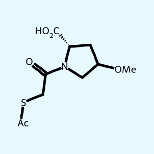 COC1C[C@@H](C(=O)O)N(C(=O)CSC(C)=O)C1